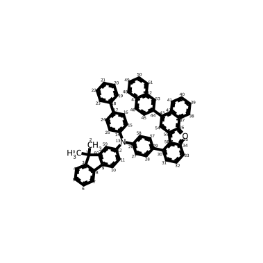 CC1(C)c2ccccc2-c2ccc(N(c3ccc(-c4ccccc4)cc3)c3ccc(-c4cccc5oc6c7ccccc7c(-c7ccc8ccccc8c7)cc6c45)cc3)cc21